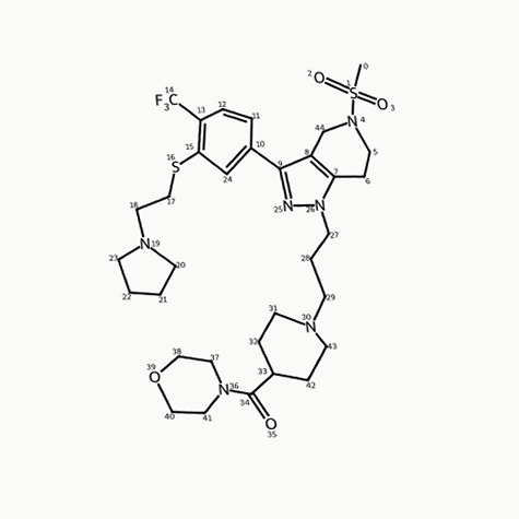 CS(=O)(=O)N1CCc2c(c(-c3ccc(C(F)(F)F)c(SCCN4CCCC4)c3)nn2CCCN2CCC(C(=O)N3CCOCC3)CC2)C1